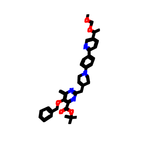 COCOC(C)c1ccc(-c2ccc(N3CCC(Cc4nc(C)c(OCc5ccccc5)c(C(=O)OC(C)(C)C)n4)CC3)cc2)nc1